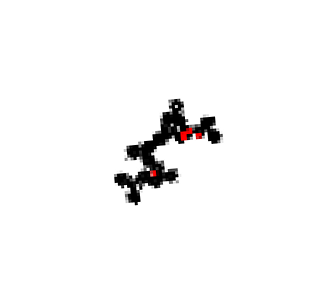 c1ccc(-c2cc(-c3ccccc3)nc(-c3cccc(-c4cccc5c4c4cc(-c6ccc7c(c6)c6cc(-c8ccc(-c9cc(-c%10ccccc%10)nc(-c%10cccc%11c%10c%10cc(-c%12cccc(-c%13ccc%14c(c%13)c%13ccccc%13n%14-c%13ccccc%13)c%12)ccc%10n%11-c%10ccccc%10)n9)cc8)ccc6n7-c6ccccc6)ccc4n5-c4ccccc4)c3)n2)cc1